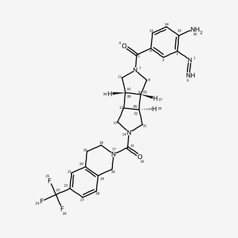 N=Nc1cc(C(=O)N2C[C@H]3[C@@H](C2)C2CN(C(=O)N4CCc5cc(C(F)(F)F)ccc5C4)C[C@@H]23)ccc1N